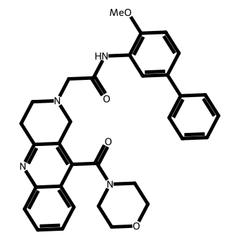 COc1ccc(-c2ccccc2)cc1NC(=O)CN1CCc2nc3ccccc3c(C(=O)N3CCOCC3)c2C1